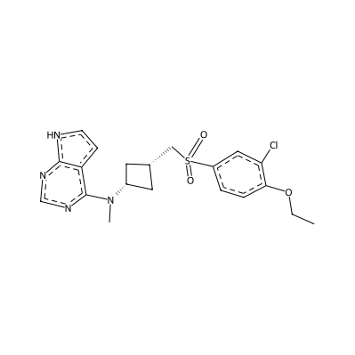 CCOc1ccc(S(=O)(=O)C[C@H]2C[C@@H](N(C)c3ncnc4[nH]ccc34)C2)cc1Cl